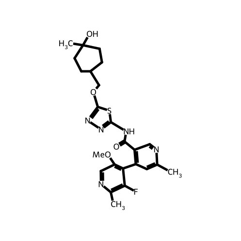 COc1cnc(C)c(F)c1-c1cc(C)ncc1C(=O)Nc1nnc(OCC2CCC(C)(O)CC2)s1